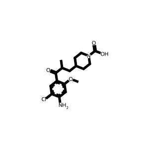 COc1cc(N)c(Cl)cc1C(=O)C(C)CC1CCN(C(=O)O)CC1